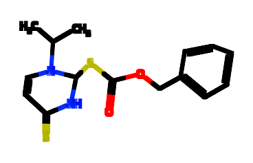 CC(C)N1C=CC(=S)NC1SC(=O)OCc1ccccc1